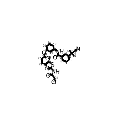 CC(C)(C#N)c1cccc(C(=O)Nc2cccc(Oc3ccc4nc(NC(=O)CCl)sc4n3)c2)c1